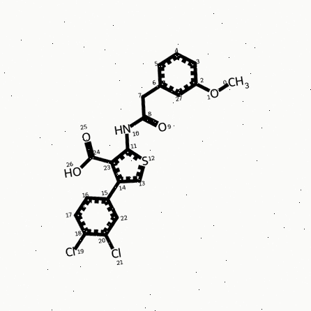 COc1cccc(CC(=O)Nc2scc(-c3ccc(Cl)c(Cl)c3)c2C(=O)O)c1